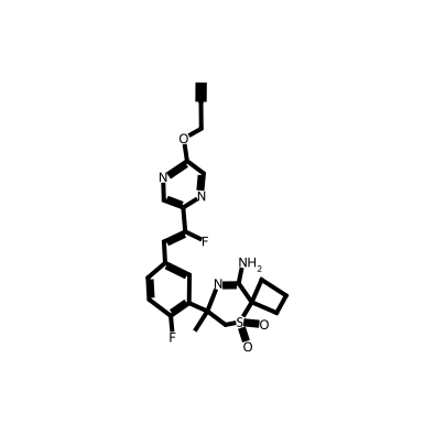 C#CCOc1cnc(C(F)=Cc2ccc(F)c(C3(C)CS(=O)(=O)C4(CCC4)C(N)=N3)c2)cn1